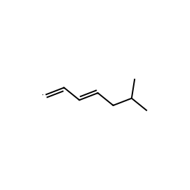 [CH]=CC=CCC(C)C